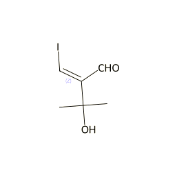 CC(C)(O)/C(C=O)=C/I